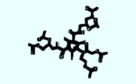 CC(=O)OCCN(C(=O)COC(C)=O)c1c(I)c(C(=O)NCC(COC(C)=O)OC(C)=O)c(I)c(C(=O)NCC(COC(C)=O)OC(C)=O)c1I